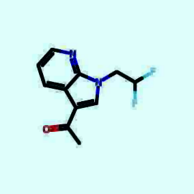 CC(=O)c1cn(CC(F)F)c2ncccc12